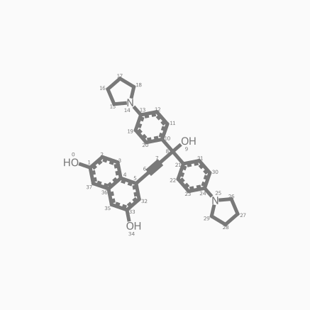 Oc1ccc2c(C#CC(O)(c3ccc(N4CCCC4)cc3)c3ccc(N4CCCC4)cc3)cc(O)cc2c1